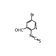 O=Cc1cc(Br)cnc1N=C=S